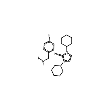 Fc1ccc(CN(I)I)cc1.[Pt]=[c]1n(C2CCCCC2)ccn1C1CCCCC1